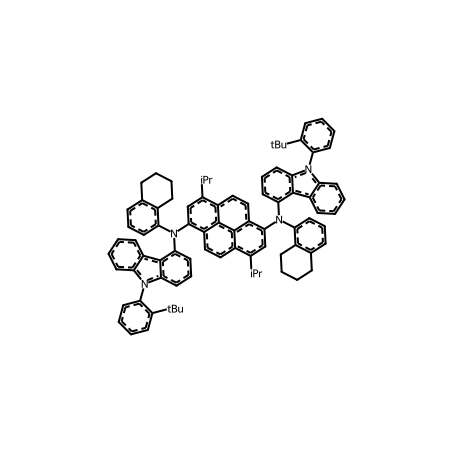 CC(C)c1cc(N(c2cccc3c2CCCC3)c2cccc3c2c2ccccc2n3-c2ccccc2C(C)(C)C)c2ccc3c(C(C)C)cc(N(c4cccc5c4CCCC5)c4cccc5c4c4ccccc4n5-c4ccccc4C(C)(C)C)c4ccc1c2c34